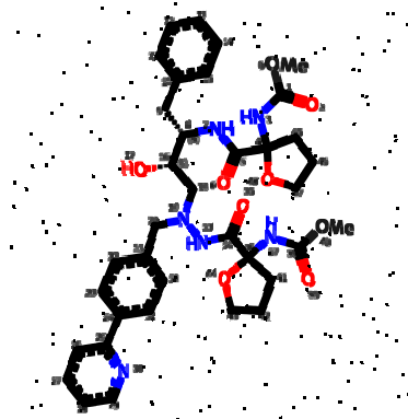 COC(=O)NC1(C(=O)N[C@@H](Cc2ccccc2)[C@@H](O)CN(Cc2ccc(-c3ccccn3)cc2)NC(=O)C2(NC(=O)OC)CCCO2)CCCO1